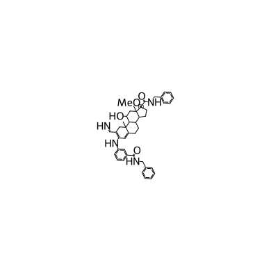 CO[C@]1(C(=O)NCc2ccccc2)CCC2C3CCC4=CC(Nc5cccc(C(=O)NCc6ccccc6)c5)=C(C=N)CC4(C)C3C(O)CC21C